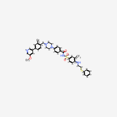 CCOc1cncc(-c2ccc(CN3CCN(c4ccc(C(=O)NS(=O)(=O)c5ccc(NCCSc6ccccc6)c(C(F)(F)F)c5)cc4)CC3)c(CC)c2)c1